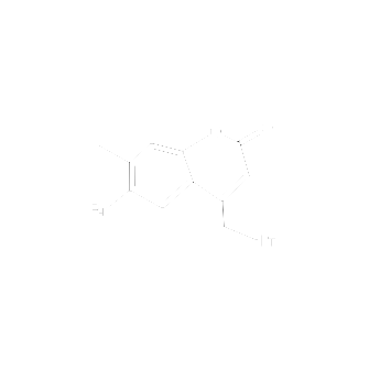 Cc1cc2oc(=O)cc(CC(C)C)c2cc1Br